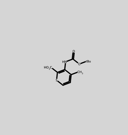 CC1=C=CSC(C(=O)O)=C1NC(=O)OC(C)(C)C